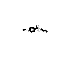 CCCCOC(=O)c1ccc(OCC)cc1